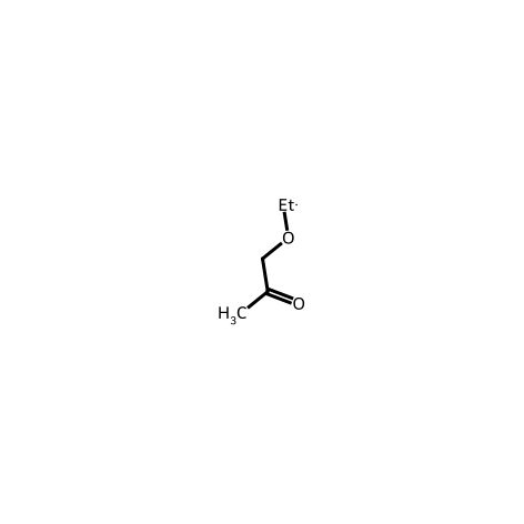 C[CH]OCC(C)=O